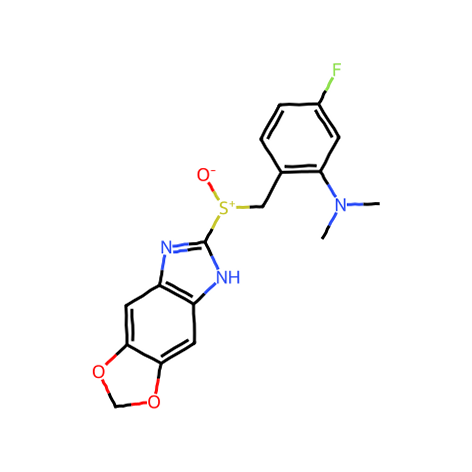 CN(C)c1cc(F)ccc1C[S+]([O-])c1nc2cc3c(cc2[nH]1)OCO3